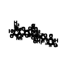 CCCCCC1(OP(=O)(O)OC[C@H]2O[C@@H](n3cnc4c(=O)[nH]c(N)nc43)C(OC)C2OP(=O)(O)OCC)CO[C@@H](n2ccc(=O)[nH]c2=O)C1F